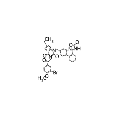 CCc1cc2c(=O)n(CC(=O)c3ccc(OC)c(Br)c3)c(=O)n(Cc3ccc(-c4ccccc4-c4noc(=O)[nH]4)cc3)c2s1